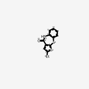 CCc1cc2c(s1)Sc1ccccc1NC2=O